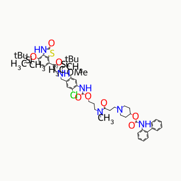 COc1cc(NC(=O)OCCCN(C)C(=O)CCN2CCC(OC(=O)Nc3ccccc3-c3ccccc3)CC2)c(Cl)cc1CNC[C@H](O[Si](C)(C)C(C)(C)C)c1ccc(O[Si](C)(C)C(C)(C)C)c2[nH]c(=O)sc12